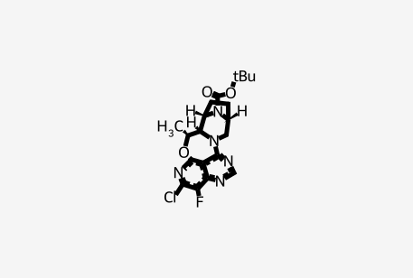 C[C@@H]1Oc2nc(Cl)c(F)c3ncnc(c23)N2C[C@H]3CC[C@@H]([C@@H]12)N3C(=O)OC(C)(C)C